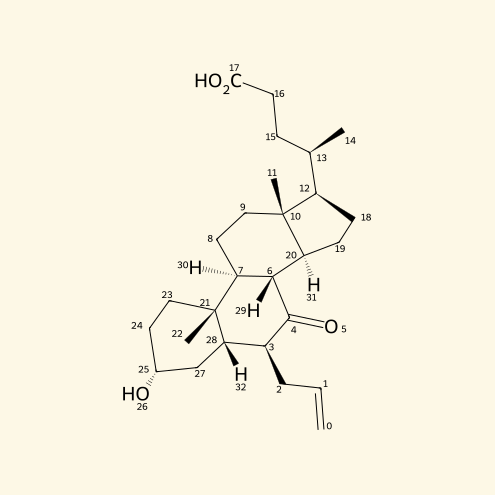 C=CC[C@@H]1C(=O)[C@@H]2[C@H](CC[C@]3(C)[C@@H]([C@H](C)CCC(=O)O)CC[C@@H]23)[C@@]2(C)CC[C@@H](O)C[C@@H]12